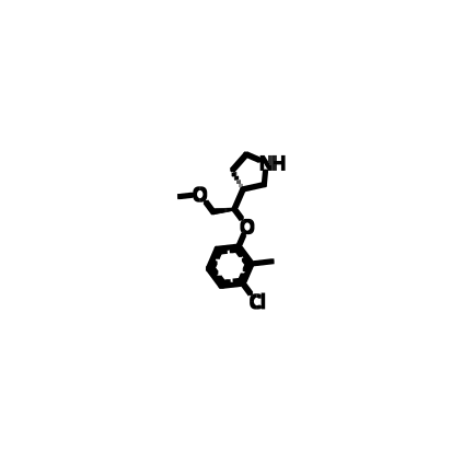 COC[C@H](Oc1cccc(Cl)c1C)[C@@H]1CCNC1